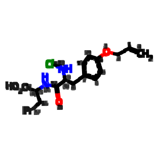 C=CCOc1ccc(C[C@H](NCl)C(=O)N[C@@H](CC(C)C)C(=O)O)cc1